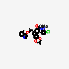 COC(=O)C1(Nc2cccc(Cl)c2)CCC2(CC1)c1cc3c(cc1C[C@@H]2C[C@@H](C)COc1ccnc2c1[C@H](C)CCC2)OCC(C)CO3